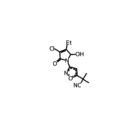 CCC1=C(Cl)C(=O)N(c2cc(C(C)(C)C#N)on2)C1O